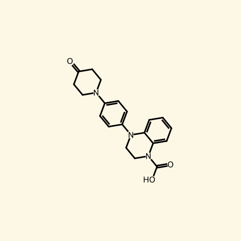 O=C1CCN(c2ccc(N3CCN(C(=O)O)c4ccccc43)cc2)CC1